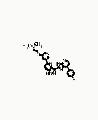 CN(C)CCOc1cncc(-c2ccc3[nH]nc(-c4nc5c(-c6ccc(F)cc6)ccnc5[nH]4)c3n2)c1